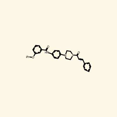 CC(C)Oc1cccc(C(=O)Nc2ccc(N3CCN(C(=O)/C=C/c4ccccc4)CC3)cc2)c1